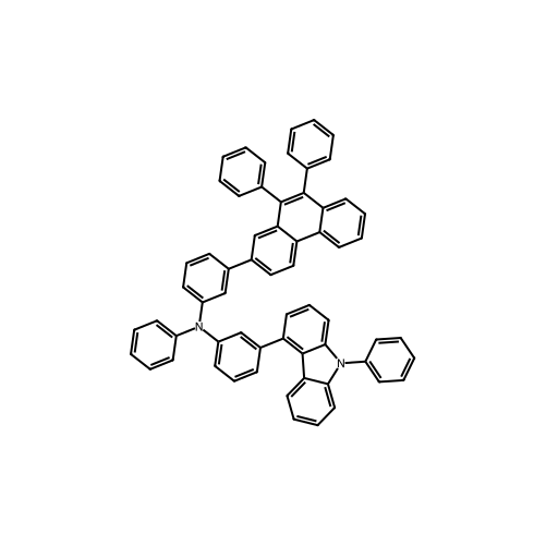 c1ccc(-c2c(-c3ccccc3)c3cc(-c4cccc(N(c5ccccc5)c5cccc(-c6cccc7c6c6ccccc6n7-c6ccccc6)c5)c4)ccc3c3ccccc23)cc1